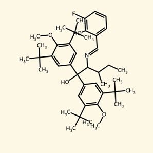 CCC(C)C(N=Cc1cccc(F)c1O)C(O)(c1cc(C(C)(C)C)c(OC)c(C(C)(C)C)c1)c1cc(C(C)(C)C)c(OC)c(C(C)(C)C)c1